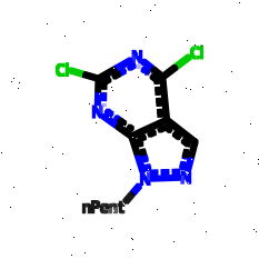 CCCCCn1ncc2c(Cl)nc(Cl)nc21